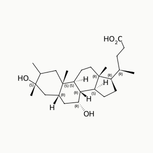 CC1C[C@@]2(C)[C@H](C[C@@H](O)[C@@H]3[C@@H]2CC[C@]2(C)[C@@H]([C@H](C)CCC(=O)O)CC[C@@H]32)C[C@]1(C)O